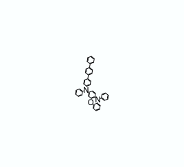 c1ccc(-c2ccc(-c3ccc(N(c4ccccc4)c4ccc5c(c4)Oc4ccccc4N5c4ccccc4)cc3)cc2)cc1